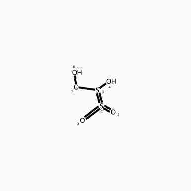 O=S(=O)=S(O)OO